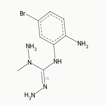 CN(N)/C(=N\N)Nc1cc(Br)ccc1N